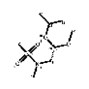 CO[C@H](CN(C)S(C)(=O)=O)OC(C)C